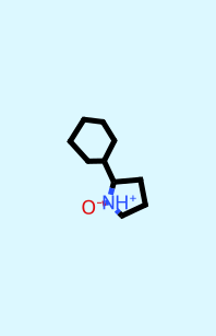 [O-][NH+]1CCCC1C1CCCCC1